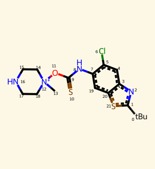 CC(C)(C)c1nc2cc(Cl)c(NC(=S)O[N+]3(C)CCNCC3)cc2s1